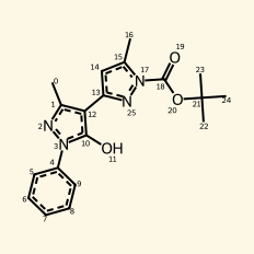 Cc1nn(-c2ccccc2)c(O)c1-c1cc(C)n(C(=O)OC(C)(C)C)n1